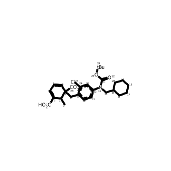 CC1C(C(=O)O)=CC=CC1(Cc1ccc(N(CC2CCCCC2)C(=O)OC(C)(C)C)cc1Cl)C(=O)O